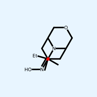 CCC(C)(C)N1C2COCC1CC(=NO)C2